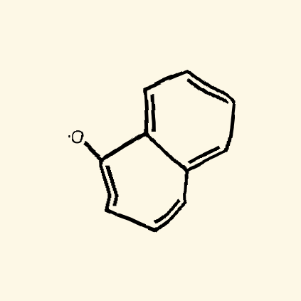 [O]c1cccc2ccccc12